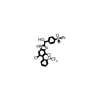 CC(C)S(=O)(=O)c1ccc(C(O)c2nc3c(Cl)c(-c4ccccc4OC(F)(F)F)c(Cl)cc3[nH]2)cc1